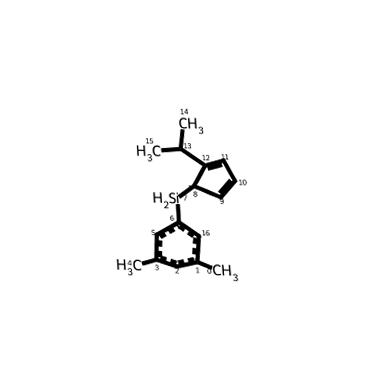 Cc1cc(C)cc([SiH2][C]2C=CC=C2C(C)C)c1